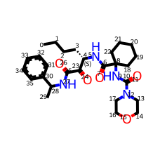 CCCC[C@H](NC(=O)C1(NC(=O)N2CCOCC2)CCCCC1)C(=O)C(=O)NC(C)c1ccccc1